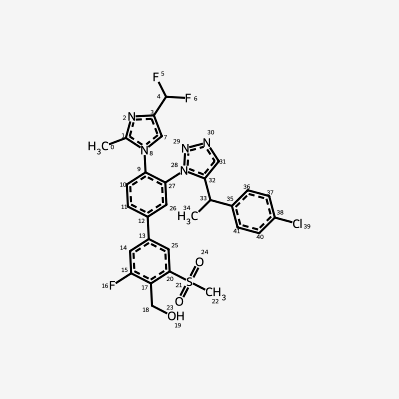 Cc1nc(C(F)F)cn1-c1ccc(-c2cc(F)c(CO)c(S(C)(=O)=O)c2)cc1-n1nncc1C(C)c1ccc(Cl)cc1